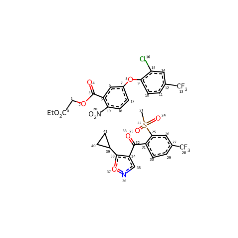 CCOC(=O)COC(=O)c1cc(Oc2ccc(C(F)(F)F)cc2Cl)ccc1[N+](=O)[O-].CS(=O)(=O)c1cc(C(F)(F)F)ccc1C(=O)c1cnoc1C1CC1